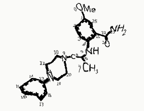 COc1ccc(NC(C)CN2CCN(c3ccccc3)CC2)c(C(N)=O)c1